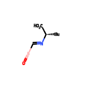 CC(C)(C)[C@H](/N=C/B=O)C(=O)O